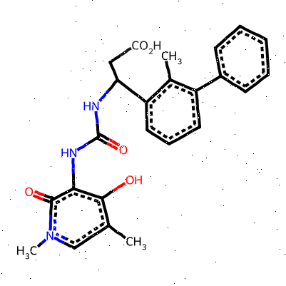 Cc1cn(C)c(=O)c(NC(=O)NC(CC(=O)O)c2cccc(-c3ccccc3)c2C)c1O